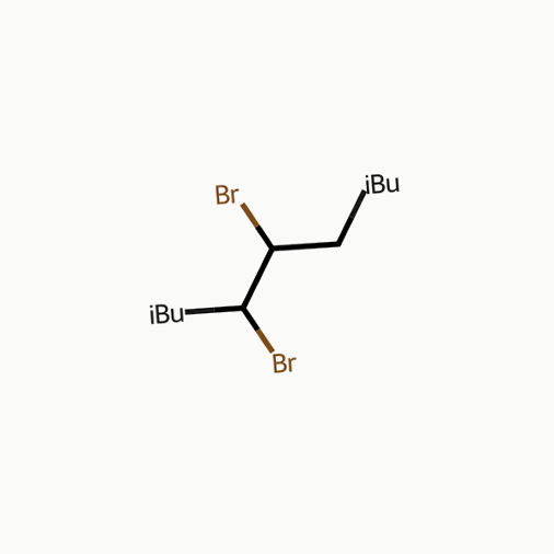 CCC(C)CC(Br)C(Br)C(C)CC